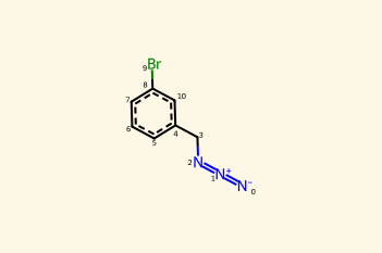 [N-]=[N+]=NCc1cccc(Br)c1